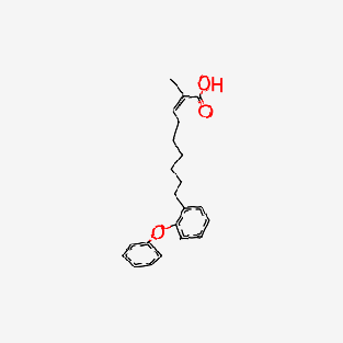 CC(=CCCCCCCc1ccccc1Oc1ccccc1)C(=O)O